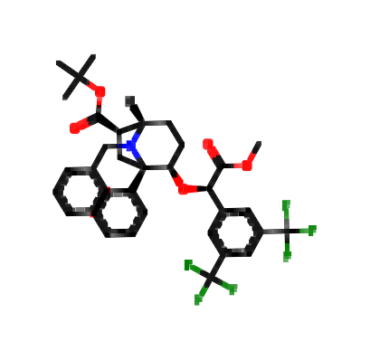 COC(=O)[C@H](O[C@@H]1CC[C@H]2[C@H](C(=O)OC(C)(C)C)C[C@]1(c1ccccc1)N2Cc1ccccc1)c1cc(C(F)(F)F)cc(C(F)(F)F)c1